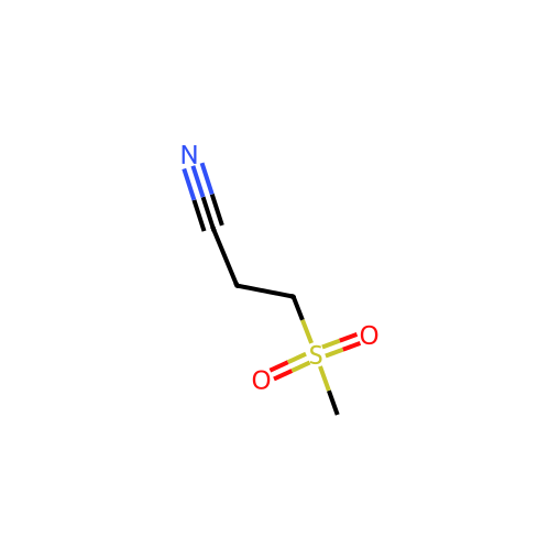 CS(=O)(=O)CCC#N